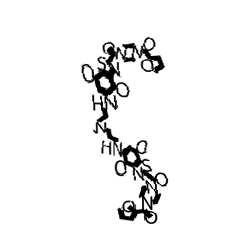 CN(CCCNC1=CC(=O)c2sc(C(=O)N3CCN(C(=O)C4CCCO4)CC3)nc2C1=O)CCCNC1=CC(=O)c2sc(C(=O)N3CCN(C(=O)C4CCCO4)CC3)nc2C1=O